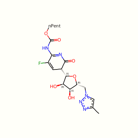 CCCCCOC(=O)NC1=NC(=O)C([C@@H]2O[C@H](Cn3cc(C)nn3)[C@@H](O)[C@H]2O)C=C1F